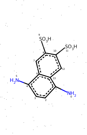 Nc1ccc(N)c2cc(S(=O)(=O)O)c(S(=O)(=O)O)cc12